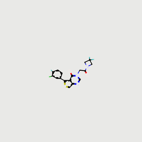 O=C(Cn1cnc2csc(-c3ccc(F)c(Cl)c3)c2c1=O)N1CC(F)(F)C1